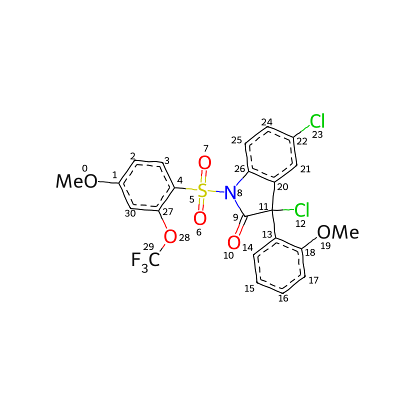 COc1ccc(S(=O)(=O)N2C(=O)C(Cl)(c3ccccc3OC)c3cc(Cl)ccc32)c(OC(F)(F)F)c1